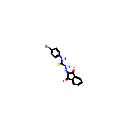 O=c1c(=NNC(=S)Nc2ccc(Br)cc2)c(=O)c2ccccc12